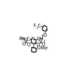 COc1ccccc1-c1c(OC(=O)OCCOc2cccc(C(F)(F)F)c2)c(C)nc(C)c1OC(=O)OC(C)C